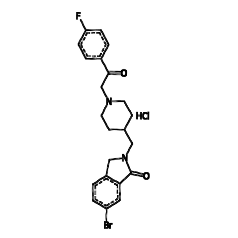 Cl.O=C(CN1CCC(CN2Cc3ccc(Br)cc3C2=O)CC1)c1ccc(F)cc1